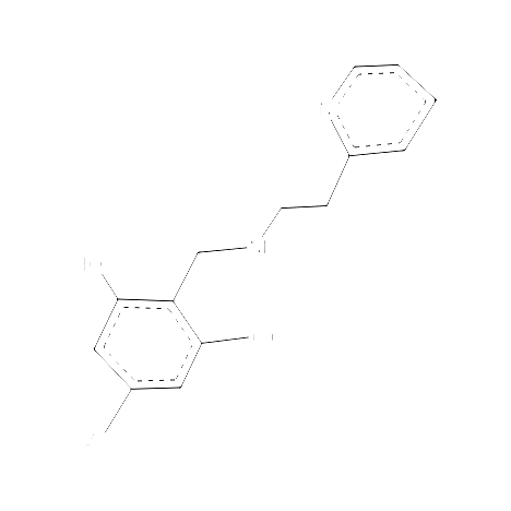 CC(C)(C)c1cc(O)c(CNCCc2ccccn2)c(C(C)(C)C)c1